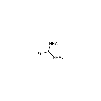 CCC(NC(C)=O)NC(C)=O